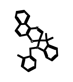 Cc1ccccc1CN1c2ccccc2C(C)(C)C12C=Nc1c(ccc3ccccc13)O2